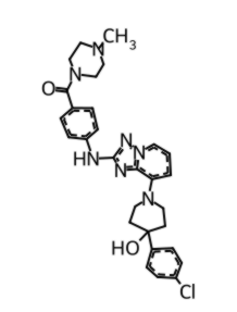 CN1CCN(C(=O)c2ccc(Nc3nc4c(N5CCC(O)(c6ccc(Cl)cc6)CC5)cccn4n3)cc2)CC1